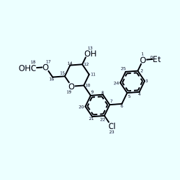 CCOc1ccc(Cc2cc(C3CC(O)CC(COC=O)O3)ccc2Cl)cc1